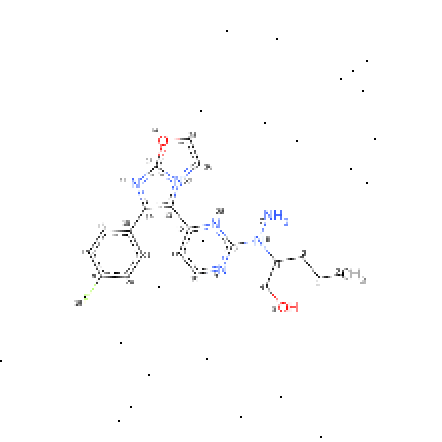 CCCC(CO)N(N)c1nccc(-c2c(-c3ccc(F)cc3)nc3occn23)n1